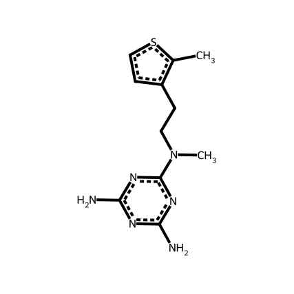 Cc1sccc1CCN(C)c1nc(N)nc(N)n1